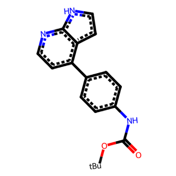 CC(C)(C)OC(=O)Nc1ccc(-c2ccnc3[nH]ccc23)cc1